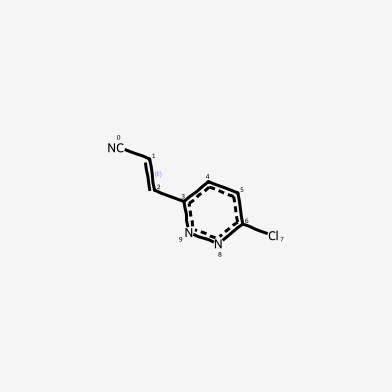 N#C/C=C/c1ccc(Cl)nn1